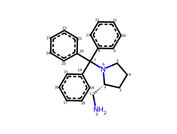 NC[C@H]1CCCN1C(c1ccccc1)(c1ccccc1)c1ccccc1